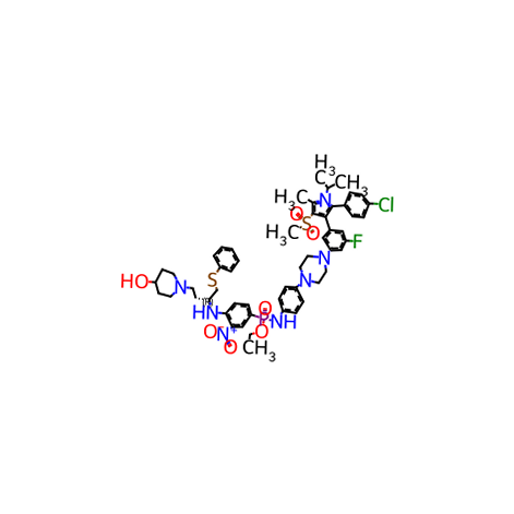 CCOP(=O)(Nc1ccc(N2CCN(c3cc(F)cc(-c4c(S(C)(=O)=O)c(C)n(C(C)C)c4-c4ccc(Cl)cc4)c3)CC2)cc1)c1ccc(N[C@H](CCN2CCC(O)CC2)CSc2ccccc2)c([N+](=O)[O-])c1